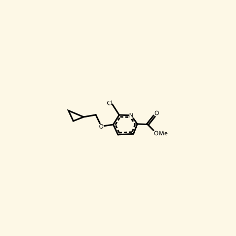 COC(=O)c1ccc(OCC2CC2)c(Cl)n1